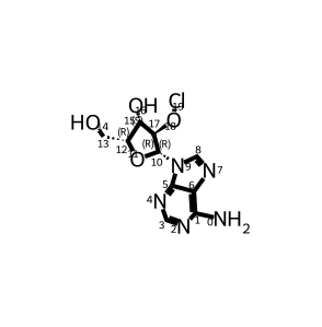 Nc1ncnc2c1ncn2[C@@H]1O[C@H](CO)[C@H](O)[C@H]1OCl